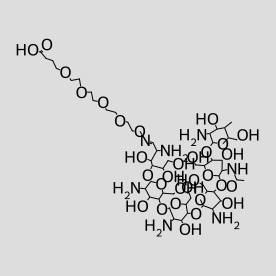 CC(=O)NC1C(OC2C(CO)OC(OC3C(CO)OC(OC4C(CO)OC(OC(C(O)CO)C(O)C(N)/C=N/OCCOCCOCCOCCOCCCC(=O)O)C(N)C4O)C(N)C3O)C(N)C2O)OC(CO)C(OC2OC(CO)C(C)C(O)C2N)C1O